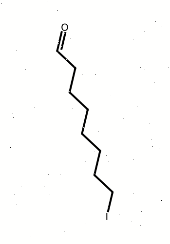 O=CCCCCCCCI